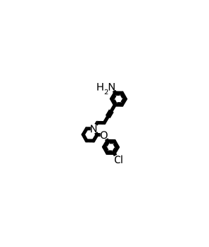 Nc1cccc(C#CCCN2CCCCC2Oc2ccc(Cl)cc2)c1